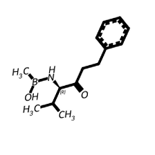 CB(O)N[C@@H](C(=O)CCc1ccccc1)C(C)C